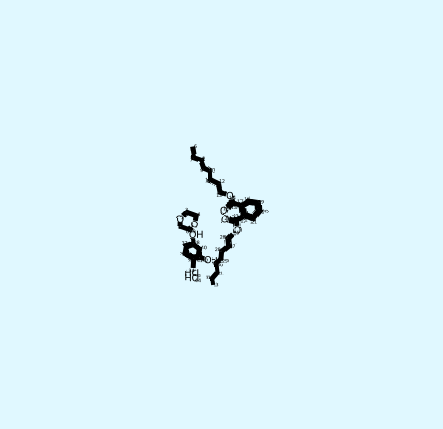 C1COCCO1.CCCCCCCCOC(=O)c1ccccc1C(=O)OCCCCCCCC.Cc1ccc(O)cc1O.Cl.Cl